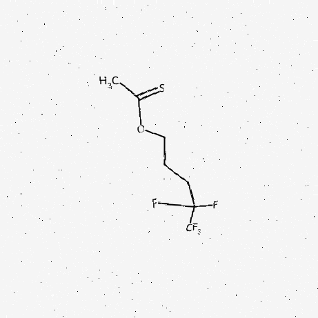 CC(=S)OCCCC(F)(F)C(F)(F)F